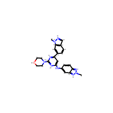 Cn1nc2ccc(Nc3cc(-c4ccc5cnn(C)c5c4)nc(N4CCOCC4)n3)cc2n1